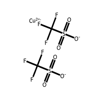 O=S(=O)([O-])C(F)(F)F.O=S(=O)([O-])C(F)(F)F.[Cu+2]